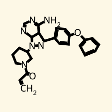 C=CC(=O)N1CCCC(N2N=C(c3ccc(Oc4ccccc4)cc3)C3C(N)=NC=NC32)C1